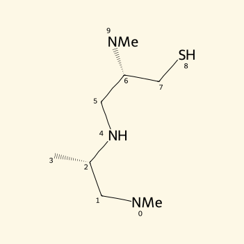 CNC[C@H](C)NC[C@@H](CS)NC